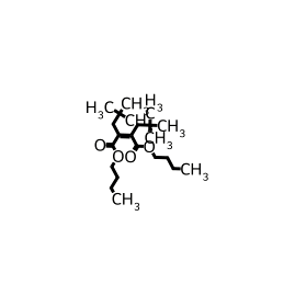 CCCCOC(=O)C(CC(C)(C)C)=C(CC(C)(C)C)C(=O)OCCCC